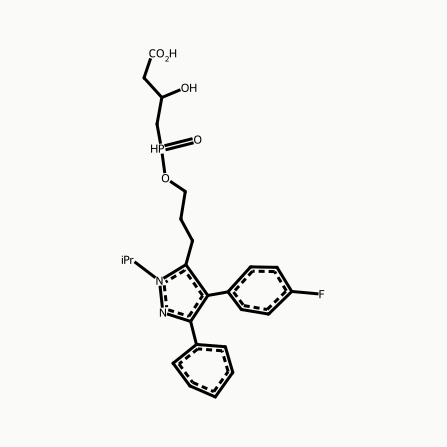 CC(C)n1nc(-c2ccccc2)c(-c2ccc(F)cc2)c1CCCO[PH](=O)CC(O)CC(=O)O